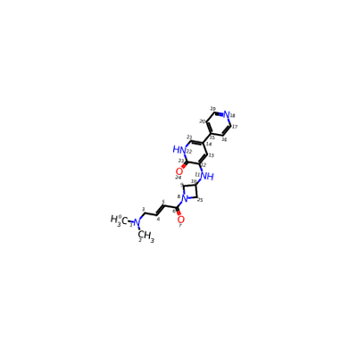 CN(C)C/C=C/C(=O)N1CC(Nc2cc(-c3ccncc3)c[nH]c2=O)C1